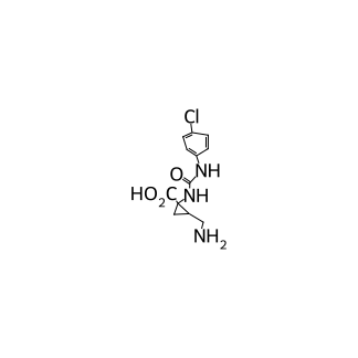 NCC1CC1(NC(=O)Nc1ccc(Cl)cc1)C(=O)O